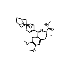 CNC(=O)N1N=C(c2ccc(N3C4CCC3CC(=O)C4)cc2)c2cc(OC)c(OC)cc2C[C@H]1C